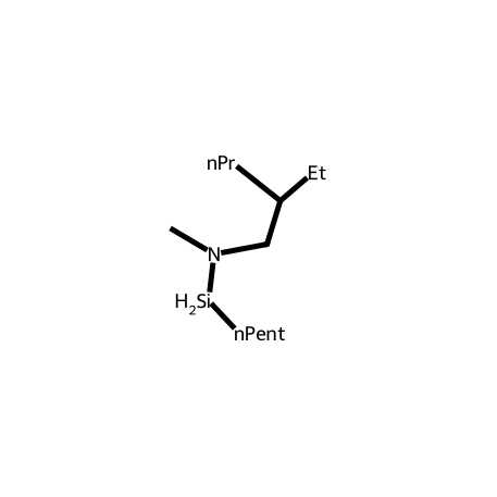 CCCCC[SiH2]N(C)CC(CC)CCC